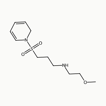 COCCNCCCS(=O)(=O)N1C=CC=CC1